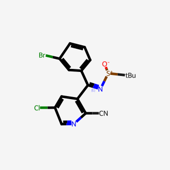 CC(C)(C)[S+]([O-])/N=C(\c1cccc(Br)c1)c1cc(Cl)cnc1C#N